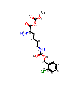 CC(C)(C)OC(=O)OC(=O)[C@H](N)CCCCNC(=O)OCc1ccccc1Cl